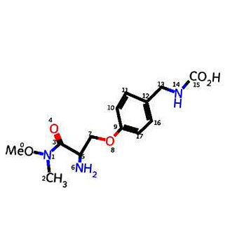 CON(C)C(=O)C(N)COc1ccc(CNC(=O)O)cc1